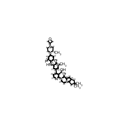 C[C@H]1CN(C2COC2)CCN1c1ccc(Nc2cc(-c3ccnc(-n4ccn5c6c(cc5c4=O)CC(C)(C)C6)c3CO)cn(C)c2=O)c(F)c1